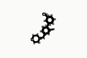 Cc1cc(CN2CCOCC2)ccc1-c1cccc(Cl)c1